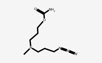 CN(CCCN=[N+]=[N-])CCCOC(N)=O